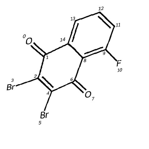 O=C1C(Br)=C(Br)C(=O)c2c(F)cccc21